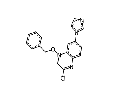 ClC1=Nc2ccc(-n3ccnc3)cc2N(OCc2ccccc2)C1